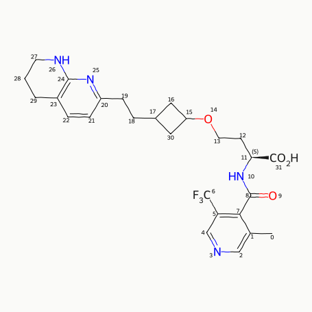 Cc1cncc(C(F)(F)F)c1C(=O)N[C@@H](CCOC1CC(CCc2ccc3c(n2)NCCC3)C1)C(=O)O